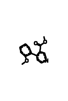 COC(=O)c1cnccc1-c1ccccc1OC